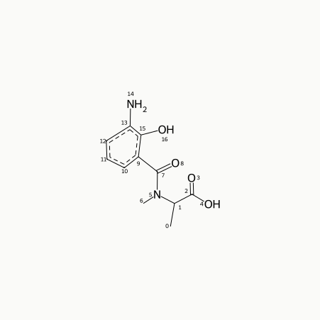 CC(C(=O)O)N(C)C(=O)c1cccc(N)c1O